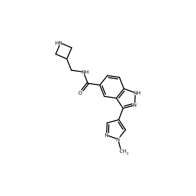 Cn1cc(-c2n[nH]c3ccc(C(=O)NCC4CNC4)cc23)cn1